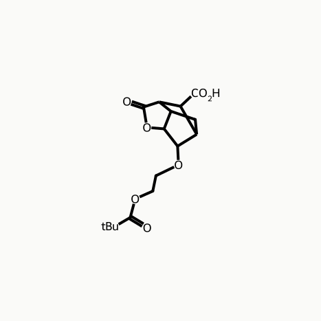 CC(C)(C)C(=O)OCCOC1C2CC3C1OC(=O)C3C2C(=O)O